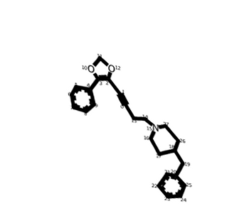 C(#CC1=C(c2ccccc2)OCO1)CCN1CCC(Cc2ccccc2)CC1